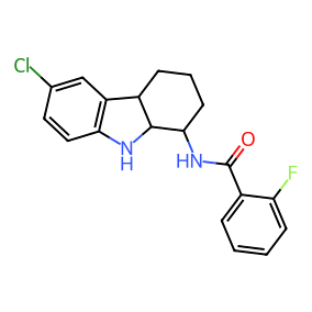 O=C(NC1CCCC2c3cc(Cl)ccc3NC12)c1ccccc1F